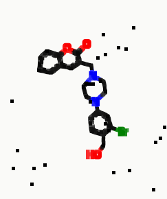 O=c1oc2ccccc2cc1CN1CCN(c2ccc(CO)c(Br)c2)CC1